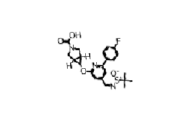 CC(C)(C)[S+]([O-])/N=C\c1cc(O[C@@H]2[C@@H]3CN(C(=O)O)C[C@@H]32)nc(-c2ccc(F)cc2)c1